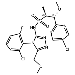 COCc1nnc(NS(=O)(=O)[C@@H](C)[C@H](OC)c2ncc(Cl)cn2)n1-c1c(Cl)cccc1Cl